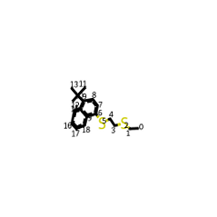 CCSCCSc1ccc(C(C)(C)C)c2ccccc12